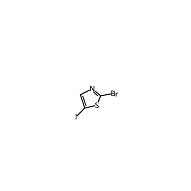 Brc1ncc(I)s1